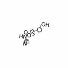 O=C(NC1CN2CCC1CC2)Oc1ccc(-c2cccc(CO)c2)s1